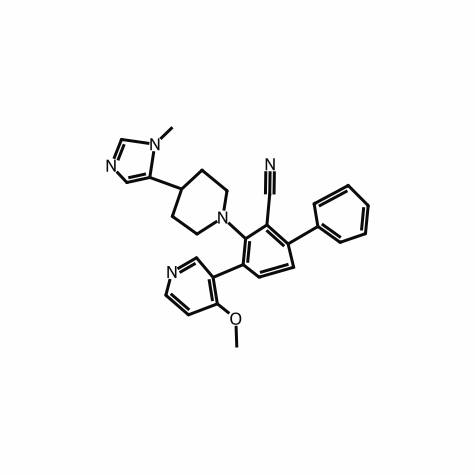 COc1ccncc1-c1ccc(-c2ccccc2)c(C#N)c1N1CCC(c2cncn2C)CC1